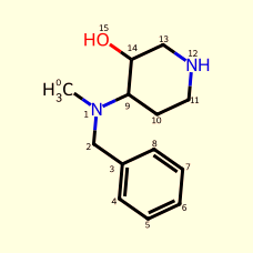 CN(Cc1ccccc1)C1CCNCC1O